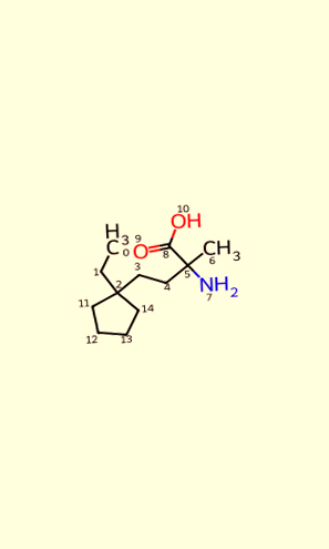 CCC1(CCC(C)(N)C(=O)O)CCCC1